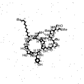 CCC(C)C[C@H](C)CCCCCCCCC(=O)N[C@H]1C[C@@H](O)[C@@H](NCCN)NC(=O)[C@@H]2[C@@H](O)CCN2C(=O)[C@H]([C@H](O)CCNC(=O)[C@H](CC(C)C)NC(=O)[C@@H](NC(=O)[C@@H](NC(=O)[C@@H](NC(=O)[C@H](CCSC)NC=O)C(C)CC)C(C)C)C(C)CC)NC(=O)[C@H]([C@H](O)[C@@H](O)c2ccc(O)cc2)NC(=O)[C@@H]2C[C@@H](O)CN2C(=O)[C@H]([C@@H](C)O)NC1=O